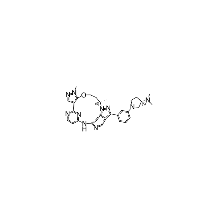 C[C@H]1CCOc2c(cnn2C)-c2nccc(n2)Nc2cc3c(cn2)c(-c2cccc(N4CC[C@H](N(C)C)C4)c2)nn31